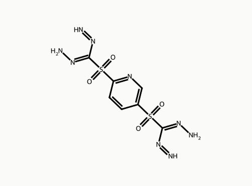 N=NC(=NN)S(=O)(=O)c1ccc(S(=O)(=O)C(N=N)=NN)nc1